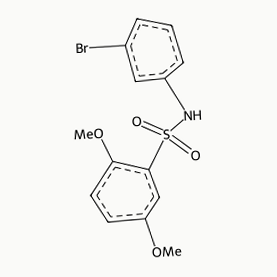 COc1ccc(OC)c(S(=O)(=O)Nc2cccc(Br)c2)c1